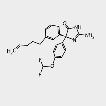 C=CCCCc1cccc([C@]2(c3ccc(OC(F)F)cc3)N=C(N)NC2=O)c1